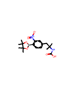 CC(C)(Cc1ccc(B2OC(C)(C)C(C)(C)O2)c([N+](=O)[O-])c1)NC(=O)O